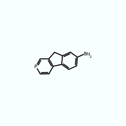 Bc1ccc2c(c1)Cc1cpccc1-2